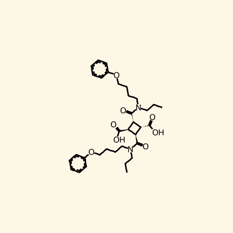 CCCN(CCCCOc1ccccc1)C(=O)[C@H]1[C@H](C(=O)O)[C@H](C(=O)N(CCC)CCCCOc2ccccc2)[C@H]1C(=O)O